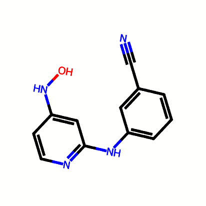 N#Cc1cccc(Nc2cc(NO)ccn2)c1